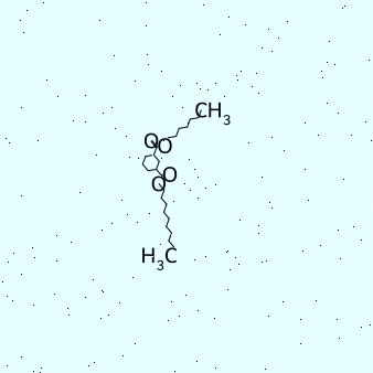 CCCCCCCCCCOC(=O)C1CCCC(C(=O)OCCCCCCC)C1